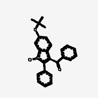 CC(C)(C)Oc1ccc2c(C(=O)c3ccccc3)c(-c3ccccc3)[s+]([O-])c2c1